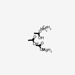 CC(=O)O.CC(=O)O.CC(=O)O.N.[CaH2].[MgH2]